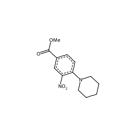 COC(=O)c1ccc(N2CCCCC2)c([N+](=O)[O-])c1